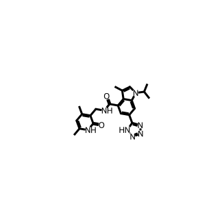 Cc1cc(C)c(CNC(=O)c2cc(-c3nnn[nH]3)cc3c2c(C)cn3C(C)C)c(=O)[nH]1